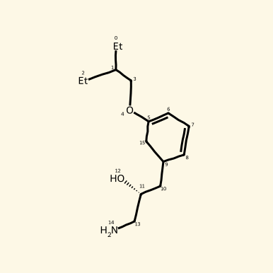 CCC(CC)COC1=CC=CC(C[C@@H](O)CN)C1